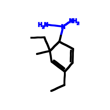 CCC1=CC(C)(CC)C(N(N)N)C=C1